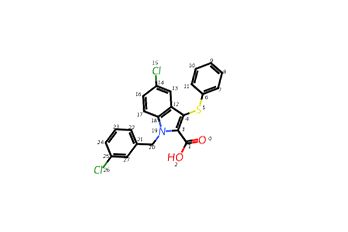 O=C(O)c1c(Sc2ccccc2)c2cc(Cl)ccc2n1Cc1cccc(Cl)c1